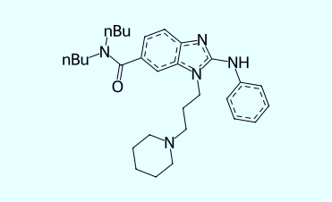 CCCCN(CCCC)C(=O)c1ccc2nc(Nc3ccccc3)n(CCCN3CCCCC3)c2c1